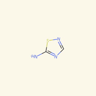 [NH]c1ncns1